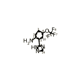 Nc1ccc(OC(F)(F)F)cc1-c1ncn[nH]1